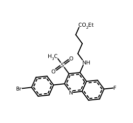 CCOC(=O)CCCNc1c(S(C)(=O)=O)c(-c2ccc(Br)cc2)nc2ccc(F)cc12